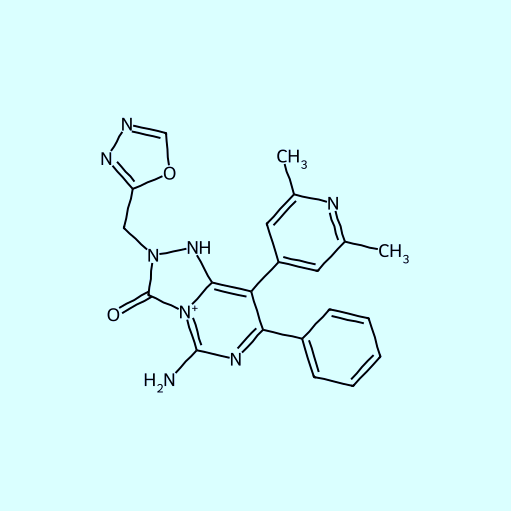 Cc1cc(-c2c(-c3ccccc3)nc(N)[n+]3c(=O)n(Cc4nnco4)[nH]c23)cc(C)n1